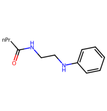 CCCC(=O)NCCNc1ccccc1